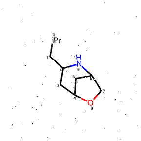 CC(C)CC1CC2CC(CO2)N1